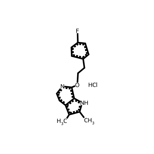 Cc1[nH]c2c(OCCc3ccc(F)cc3)nccc2c1C.Cl